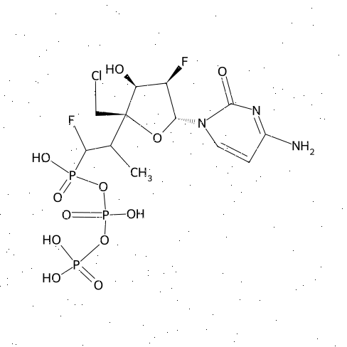 CC(C(F)P(=O)(O)OP(=O)(O)OP(=O)(O)O)[C@@]1(CCl)O[C@@H](n2ccc(N)nc2=O)[C@H](F)[C@@H]1O